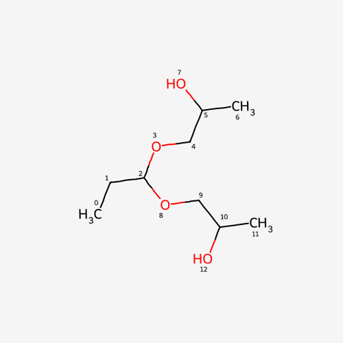 CCC(OCC(C)O)OCC(C)O